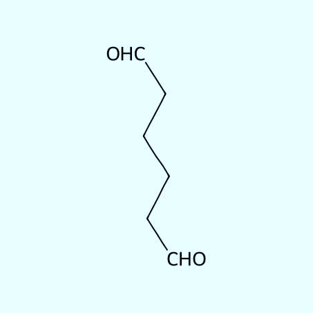 O=[13CH]CCCC[13CH]=O